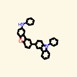 c1ccc(Nc2ccc3oc4ccc(-c5ccc6c(c5)c5ccccc5n6-c5ccccc5)cc4c3c2)cc1